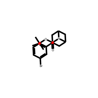 CC(C)(C)OC(=O)N1C2CC1CN(c1cccc(Br)c1)C2